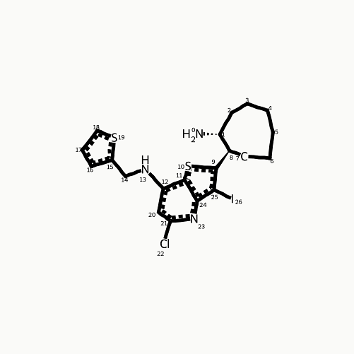 N[C@@H]1CCCCCC[C@H]1c1sc2c(NCc3cccs3)cc(Cl)nc2c1I